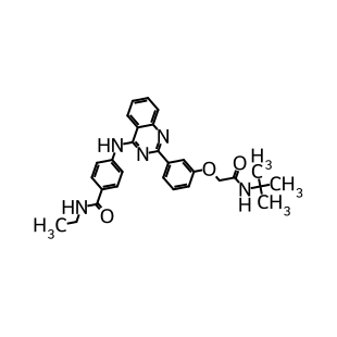 CCNC(=O)c1ccc(Nc2nc(-c3cccc(OCC(=O)NC(C)(C)C)c3)nc3ccccc23)cc1